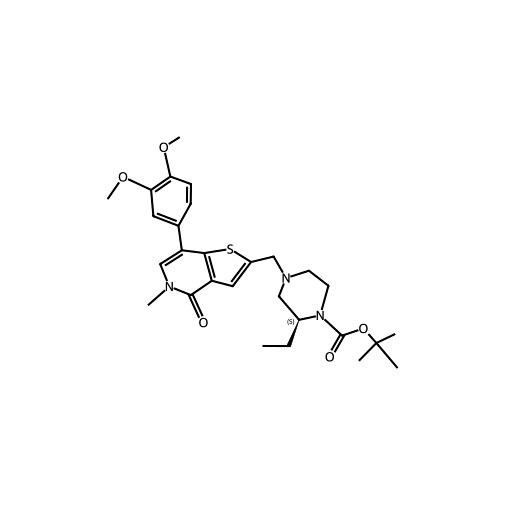 CC[C@H]1CN(Cc2cc3c(=O)n(C)cc(-c4ccc(OC)c(OC)c4)c3s2)CCN1C(=O)OC(C)(C)C